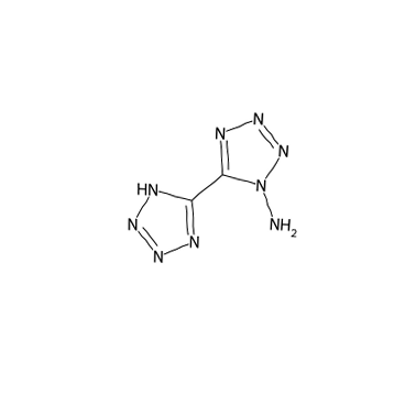 Nn1nnnc1-c1nnn[nH]1